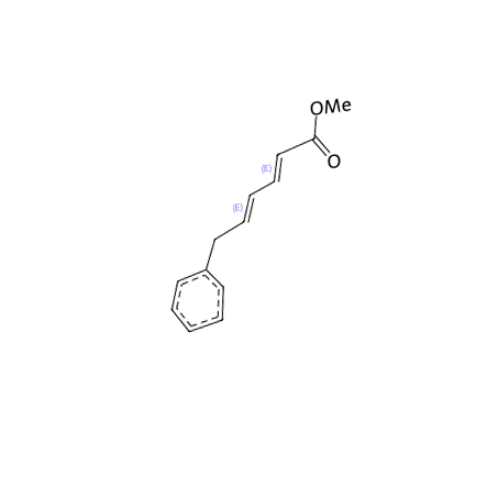 COC(=O)/C=C/C=C/Cc1ccccc1